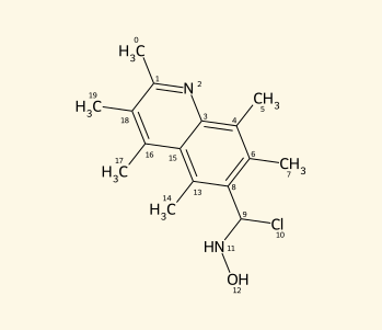 Cc1nc2c(C)c(C)c(C(Cl)NO)c(C)c2c(C)c1C